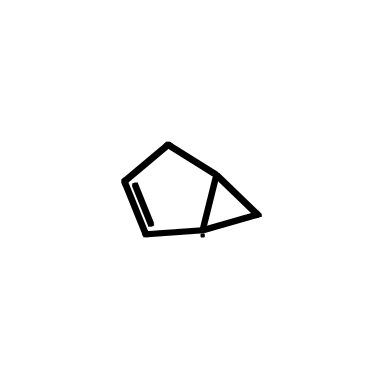 C1=C[C]2CC2C1